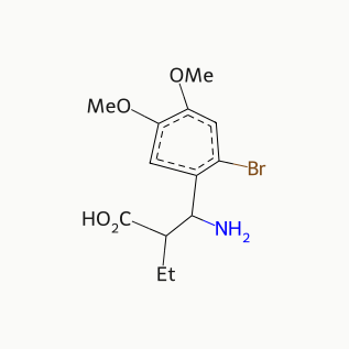 CCC(C(=O)O)C(N)c1cc(OC)c(OC)cc1Br